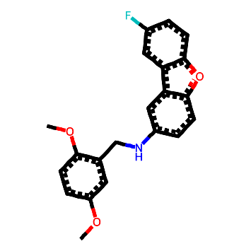 COc1ccc(OC)c(CNc2ccc3oc4ccc(F)cc4c3c2)c1